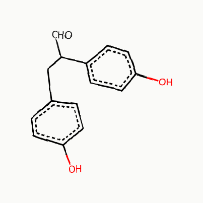 O=CC(Cc1ccc(O)cc1)c1ccc(O)cc1